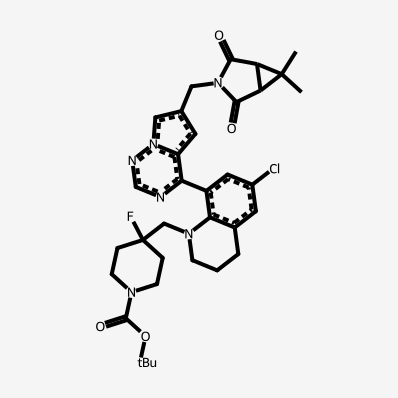 CC(C)(C)OC(=O)N1CCC(F)(CN2CCCc3cc(Cl)cc(-c4ncnn5cc(CN6C(=O)C7C(C6=O)C7(C)C)cc45)c32)CC1